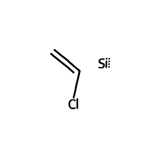 C=CCl.[Si]